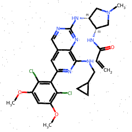 C=CC(=O)N[C@H]1CN(C)C[C@H]1Nc1ncc2cc(-c3c(Cl)c(OC)cc(OC)c3Cl)nc(NCC3CC3)c2n1